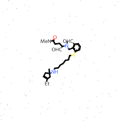 CCC1=CCC(C)(NCCCCCCCSc2cccc(C=O)c2CN(C)C(C=O)CCC(=O)NC)C1